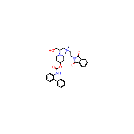 C[N+](C)(CCN1C(=O)c2ccccc2C1=O)CC(CO)N1CCC(OC(=O)Nc2ccccc2-c2ccccc2)CC1